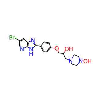 OC(COc1ccc(-c2nc3cc(Br)cnc3[nH]2)cc1)CN1CCN(O)CC1